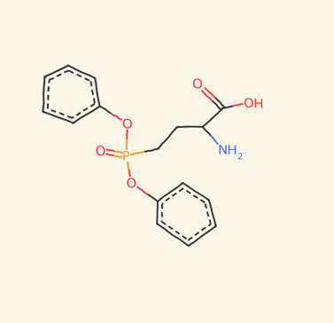 NC(CCP(=O)(Oc1ccccc1)Oc1ccccc1)C(=O)O